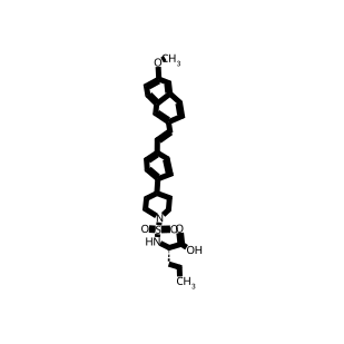 CCC[C@H](NS(=O)(=O)N1CCC(c2ccc(C=Cc3ccc4cc(OC)ccc4c3)cc2)CC1)C(=O)O